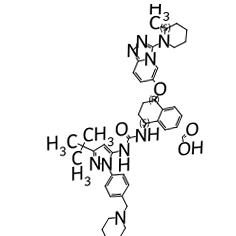 C[C@H]1CCCCN1c1nnc2ccc(O[C@@H]3CC[C@H](NC(=O)Nc4cc(C(C)(C)C)nn4-c4ccc(CN5CCCCC5)cc4)c4ccccc43)cn12.O=CO